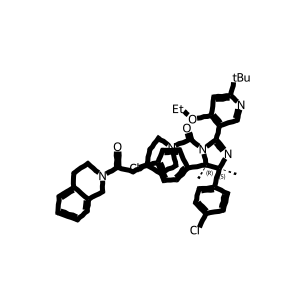 CCOc1cc(C(C)(C)C)ncc1C1=N[C@@](C)(c2ccc(Cl)cc2)[C@@](C)(c2ccc(Cl)cc2)N1C(=O)N1CCC(CC(=O)N2CCc3ccccc3C2)CC1